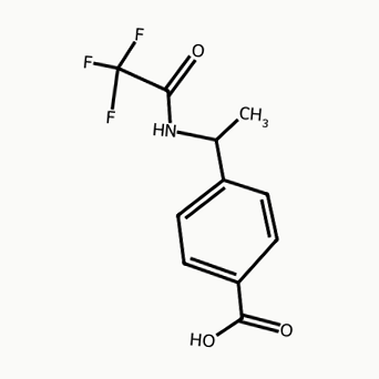 CC(NC(=O)C(F)(F)F)c1ccc(C(=O)O)cc1